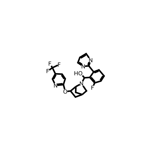 OC(c1c(F)cccc1-c1ncccn1)N1CC2CC(Oc3ccc(C(F)(F)F)cn3)C1C2